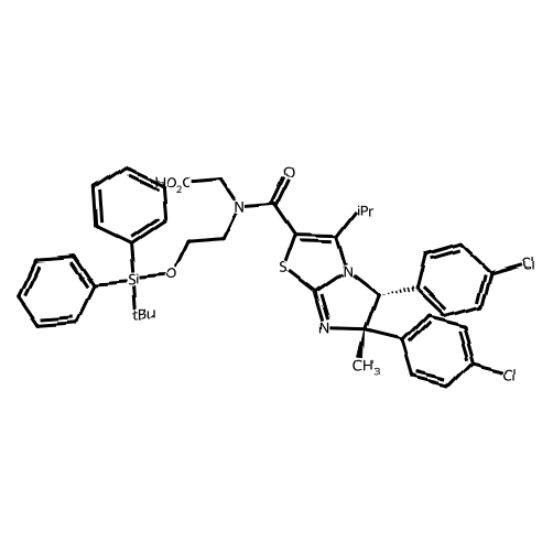 CC(C)C1=C(C(=O)N(CCO[Si](c2ccccc2)(c2ccccc2)C(C)(C)C)CC(=O)O)SC2=N[C@@](C)(c3ccc(Cl)cc3)[C@@H](c3ccc(Cl)cc3)N21